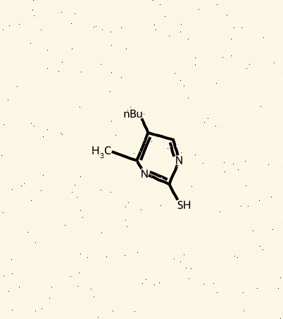 CCCCc1cnc(S)nc1C